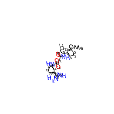 COc1cccc([C@@H](C)NC(=O)COC(=O)Nc2cccc(C(=N)N)c2)c1